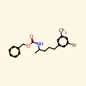 CC(CCCc1cc(Br)cc(C(F)(F)F)c1)NC(=O)OCc1ccccc1